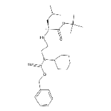 CC(C)C[C@H](NCCN(C(=O)OCc1ccccc1)C1CCCCC1)C(=O)OC(C)(C)C